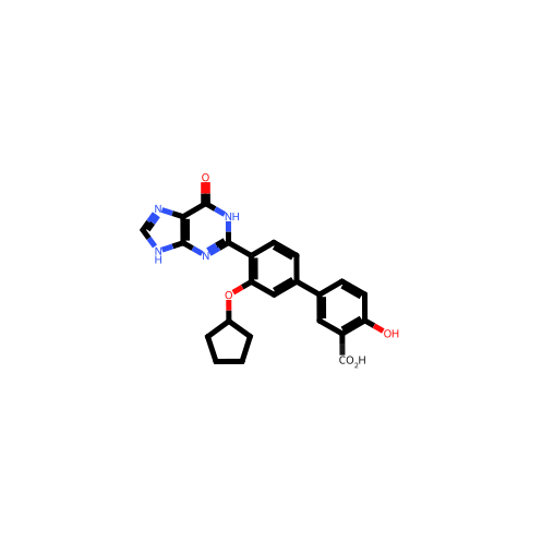 O=C(O)c1cc(-c2ccc(-c3nc4[nH]cnc4c(=O)[nH]3)c(OC3CCCC3)c2)ccc1O